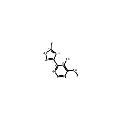 COc1ncnc(-c2noc(C)n2)c1F